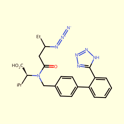 CCC(CC(=O)N(Cc1ccc(-c2ccccc2-c2nnn[nH]2)cc1)[C@H](C(=O)O)C(C)C)N=[N+]=[N-]